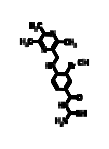 Cc1nc(C)c(CNc2ccc(C(=O)NC(=N)N)cc2Br)nc1C.Cl